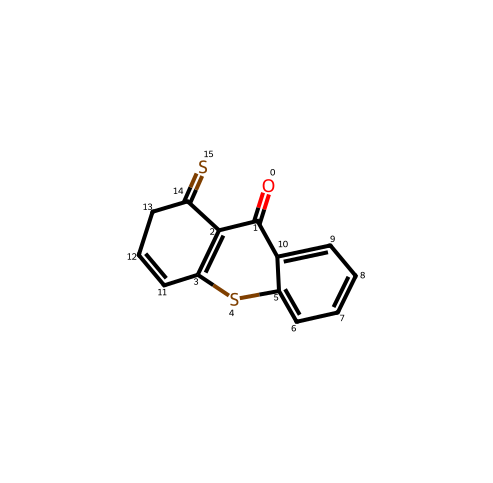 O=c1c2c(sc3ccccc13)C=CCC2=S